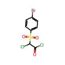 O=C(Cl)C(Cl)S(=O)(=O)c1ccc(Br)cc1